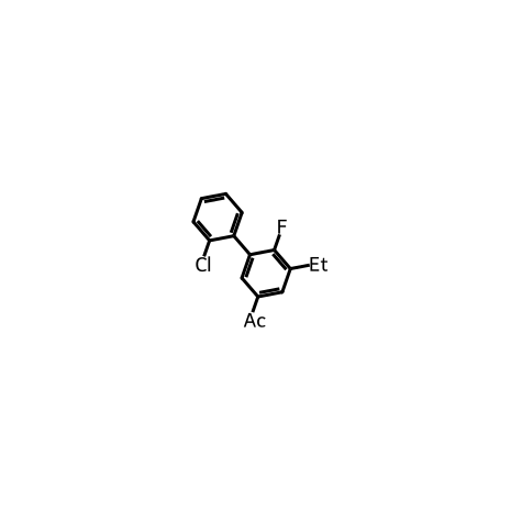 CCc1cc(C(C)=O)cc(-c2ccccc2Cl)c1F